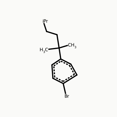 CC(C)CCC(C)(C)c1ccc(Br)cc1